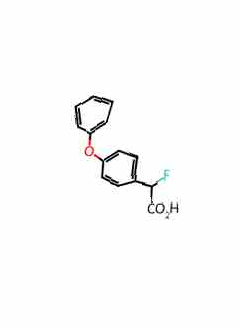 O=C(O)C(F)c1ccc(Oc2ccccc2)cc1